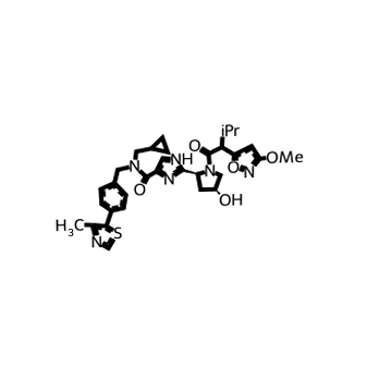 COc1cc(C(C(=O)N2C[C@H](O)C[C@H]2c2nc(C(=O)N(Cc3ccc(-c4scnc4C)cc3)CC3CC3)c[nH]2)C(C)C)on1